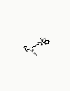 NC(=O)CN(CCCCCCNS(=O)(=O)c1ccccc1[N+](=O)[O-])c1nsc2nccn12